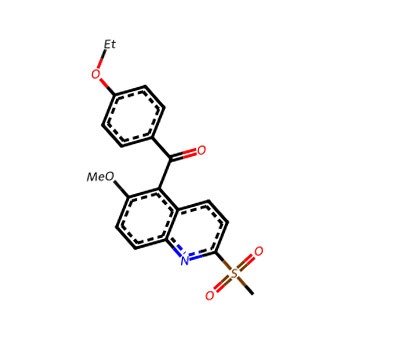 CCOc1ccc(C(=O)c2c(OC)ccc3nc(S(C)(=O)=O)ccc23)cc1